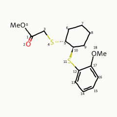 COC(=O)CS[C@@H]1CCCC[C@H]1Sc1ccccc1OC